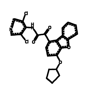 O=C(Nc1c(Cl)cncc1Cl)C(=O)c1ccc(OC2CCCC2)c2oc3ccccc3c12